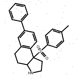 Cc1ccc(S(=O)(=O)C23CCNC2CCc2cc(-c4ccccc4)ccc23)cc1